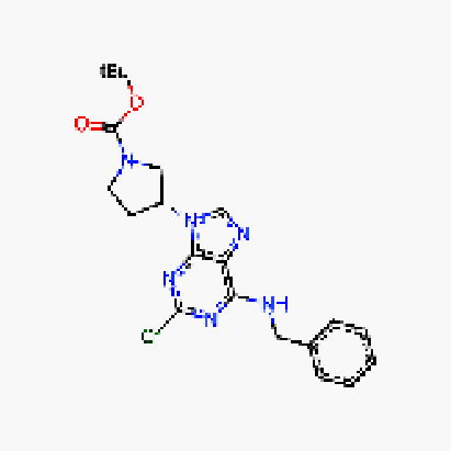 CC(C)(C)OC(=O)N1CC[C@@H](n2cnc3c(NCc4ccccc4)nc(Cl)nc32)C1